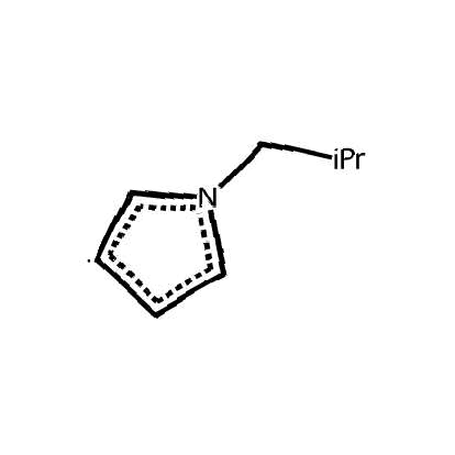 CC(C)Cn1c[c]cc1